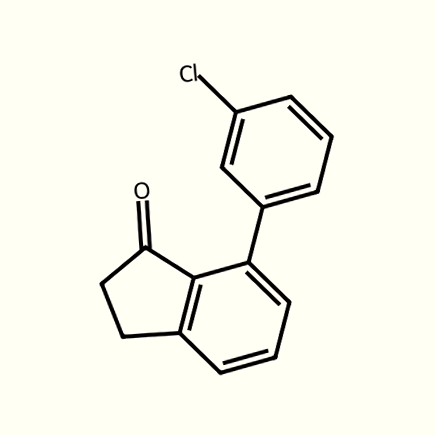 O=C1CCc2cccc(-c3cccc(Cl)c3)c21